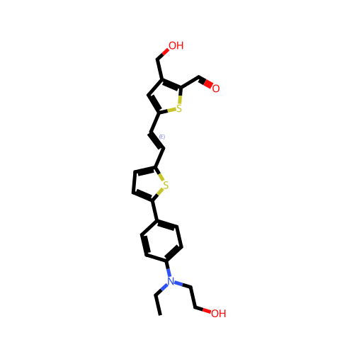 CCN(CCO)c1ccc(-c2ccc(/C=C/c3cc(CO)c(C=O)s3)s2)cc1